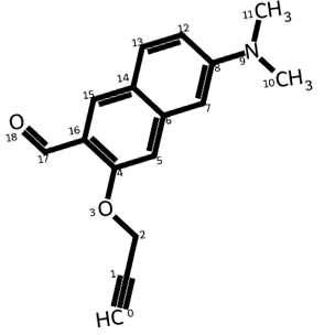 C#CCOc1cc2cc(N(C)C)ccc2cc1C=O